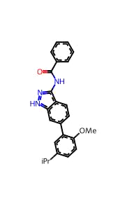 COc1ccc(C(C)C)cc1-c1ccc2c(NC(=O)c3ccccc3)n[nH]c2c1